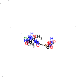 COc1cc(N2CCN(C(=O)CCCCCCSc3cccc4c3C(=O)N(C3CCC(=O)NC3=O)C4=O)CC2)ccc1Nc1ncc(Cl)c(Nc2ccccc2P(C)(C)=O)n1